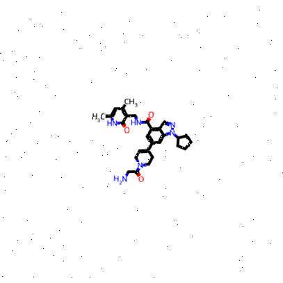 Cc1cc(C)c(CNC(=O)c2cc(C3=CCN(C(=O)CN)CC3)cc3c2cnn3C2CCCC2)c(=O)[nH]1